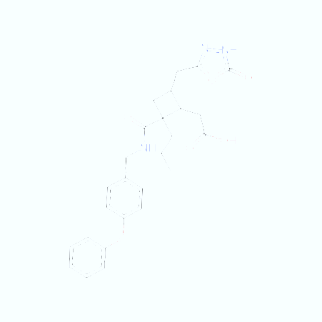 CCCC1(C(=O)NCc2ccc(Oc3ccccc3)cc2)CC(Cc2n[nH]c(=O)o2)C1CC(=O)O